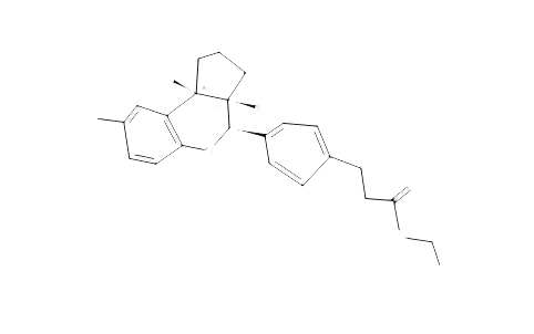 CCOC(=O)CCc1ccc([C@H]2Nc3ccc(C)cc3[C@@H]3CCC[C@H]23)cc1